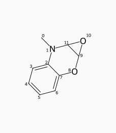 CN1c2ccccc2OC2OC21